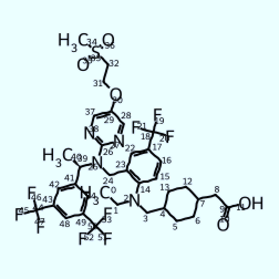 CCN(CC1CCC(CC(=O)O)CC1)c1ccc(C(F)(F)F)cc1CN(c1ncc(OCCS(C)(=O)=O)cn1)[C@H](C)c1cc(C(F)(F)F)cc(C(F)(F)F)c1